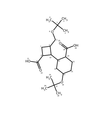 CC(C)(C)OCC1CC(C(=O)O)C1C1CC(OC(C)(C)C)CCC1C(=O)O